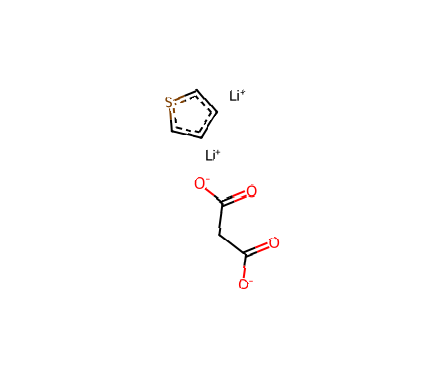 O=C([O-])CC(=O)[O-].[Li+].[Li+].c1ccsc1